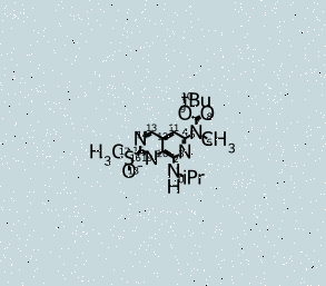 CC(C)Nc1nc(N(C)C(=O)OC(C)(C)C)cc2cnc([S+](C)[O-])nc12